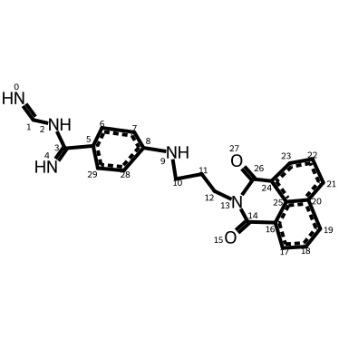 N=CNC(=N)c1ccc(NCCCN2C(=O)c3cccc4cccc(c34)C2=O)cc1